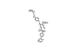 C=C\C=C(OC)/C(=C\Cc1ccc(OCCOCCCC)cc1)/C=C/C(=O)Nc1ccc(-c2cnccc2C)cc1